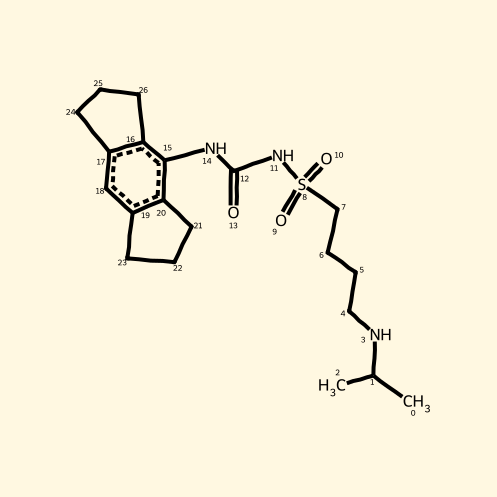 CC(C)NCCCCS(=O)(=O)NC(=O)Nc1c2c(cc3c1CCC3)CCC2